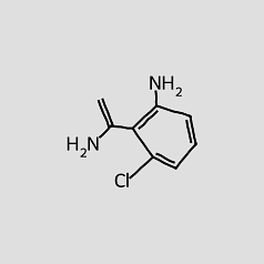 C=C(N)c1c(N)cccc1Cl